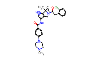 CN1CCN(c2ccc(C(=O)Nc3c[nH]c4c3CN(C(=O)Cc3ccccc3Cl)C4(C)C)cc2)CC1